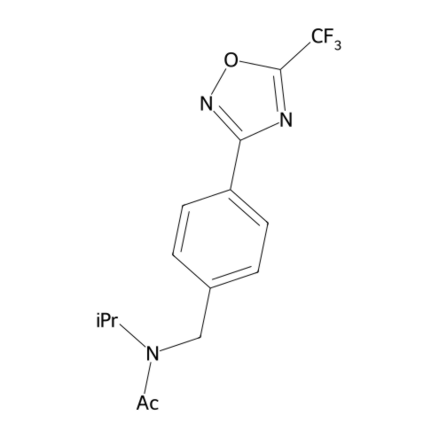 CC(=O)N(Cc1ccc(-c2noc(C(F)(F)F)n2)cc1)C(C)C